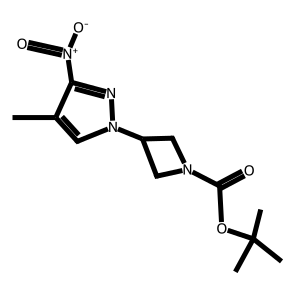 Cc1cn(C2CN(C(=O)OC(C)(C)C)C2)nc1[N+](=O)[O-]